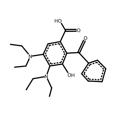 CCN(CC)c1cc(C(=O)O)c(C(=O)c2ccccc2)c(O)c1N(CC)CC